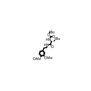 COc1ccc(CCNC(=O)[C@@H](CC(C)(C)C)NC(=O)OC(C)(C)C)cc1OC